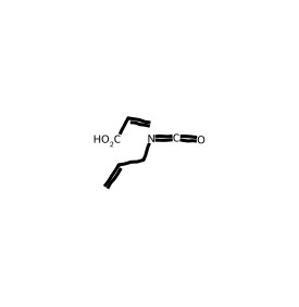 C=CC(=O)O.C=CCN=C=O